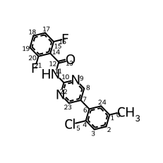 Cc1ccc(Cl)c(-c2cnc(NC(=O)c3c(F)cccc3F)nc2)c1